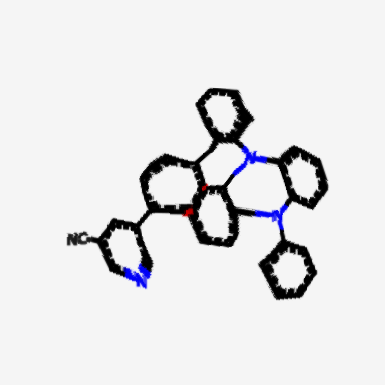 N#Cc1cncc(-c2ccc(-c3ccccc3N3c4ccccc4N(c4ccccc4)c4ccccc43)cc2)c1